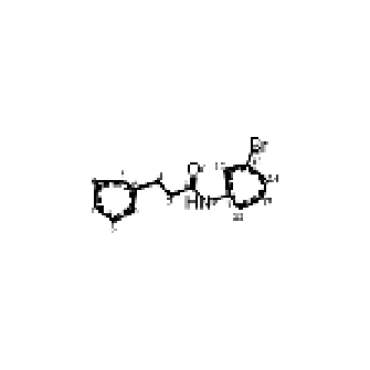 O=C(CCc1ccccc1)Nc1cccc(Br)c1